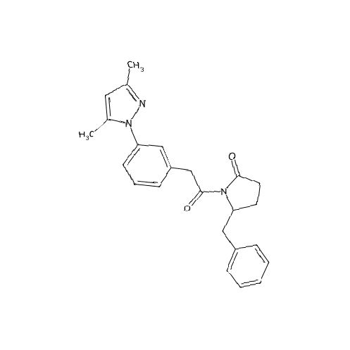 Cc1cc(C)n(-c2cccc(CC(=O)N3C(=O)CCC3Cc3ccccc3)c2)n1